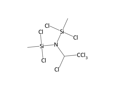 C[Si](Cl)(Cl)N(C(Cl)C(Cl)(Cl)Cl)[Si](C)(Cl)Cl